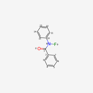 O=C(c1ccccc1)N(F)c1cc[c]cc1